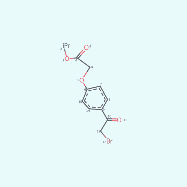 CC(C)OC(=O)COc1ccc(C(=O)CBr)cc1